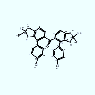 O=C(c1ccc2c(c1-c1ccc(Cl)cc1)OC(F)(F)O2)c1ccc2c(c1-c1ccc(Cl)cc1)OC(F)(F)O2